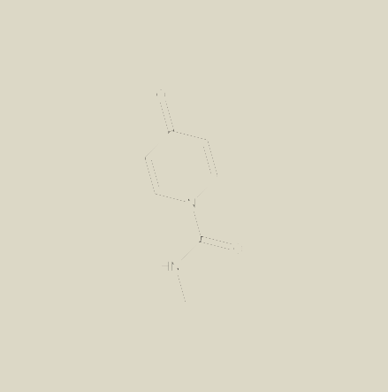 CNC(=O)n1ccc(=O)cc1